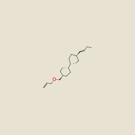 C=CCOC[C@H]1CC[C@H]([C@H]2CC[C@H](C=CCC)CC2)CC1